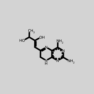 CC(O)C(O)=CC1=Nc2c(N)nc(N)nc2NC1